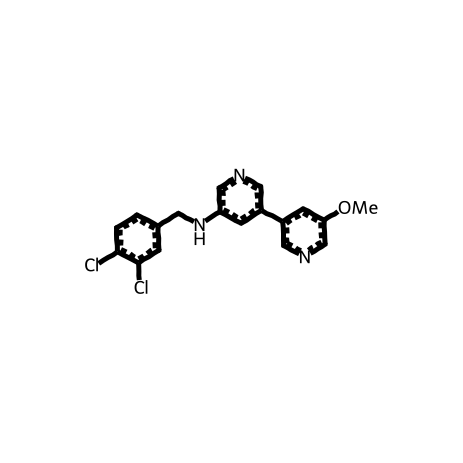 COc1cncc(-c2cncc(NCc3ccc(Cl)c(Cl)c3)c2)c1